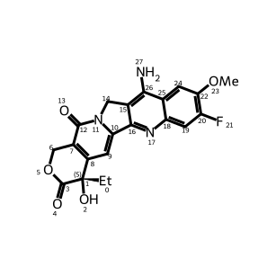 CC[C@@]1(O)C(=O)OCc2c1cc1n(c2=O)Cc2c-1nc1cc(F)c(OC)cc1c2N